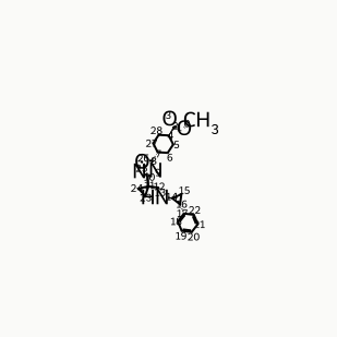 COC(=O)[C@H]1CC[C@H](c2nc(C3(CN[C@H]4C[C@@H]4c4ccccc4)CC3)no2)CC1